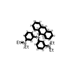 CCN(CC)c1cccc(N(c2cccc(N(CC)CC)c2)c2c3ccccc3cc3ccccc23)c1